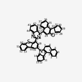 c1ccc2c(c1)ccc1c2c2ccccc2n1-c1cc(-c2nc(-c3cc4oc5ccccc5c4c4ccccc34)c3ccccc3n2)c2sc3ccccc3c2c1